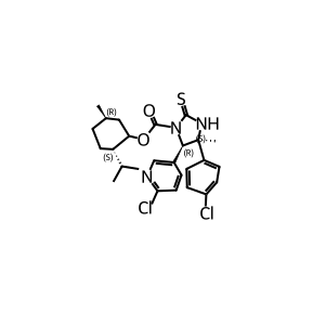 CC(C)[C@@H]1CC[C@@H](C)CC1OC(=O)N1C(=S)N[C@@](C)(c2ccc(Cl)cc2)[C@H]1c1ccc(Cl)nc1